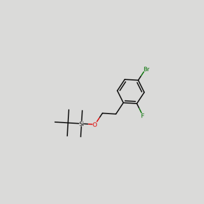 CC(C)(C)[Si](C)(C)OCCc1ccc(Br)cc1F